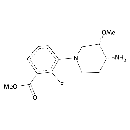 COC(=O)c1cccc(N2CC[C@@H](N)[C@@H](OC)C2)c1F